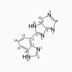 [c]1nc2c(-c3nc4ncncc4[nH]3)cccc2[nH]1